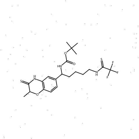 CC1Oc2ccc(C(CCCCNC(=S)C(F)(F)F)NC(=O)OC(C)(C)C)cc2NC1=S